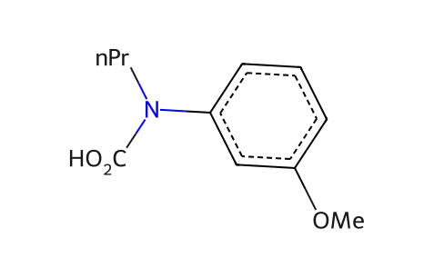 CCCN(C(=O)O)c1cccc(OC)c1